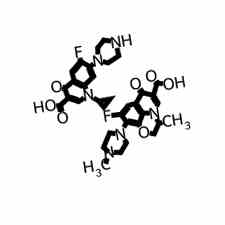 CC1COc2c(N3CCN(C)CC3)c(F)cc3c(=O)c(C(=O)O)cn1c23.O=C(O)c1cn(C2CC2)c2cc(N3CCNCC3)c(F)cc2c1=O